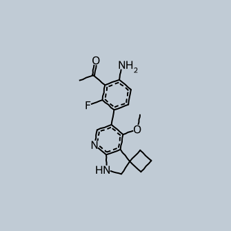 COc1c(-c2ccc(N)c(C(C)=O)c2F)cnc2c1C1(CCC1)CN2